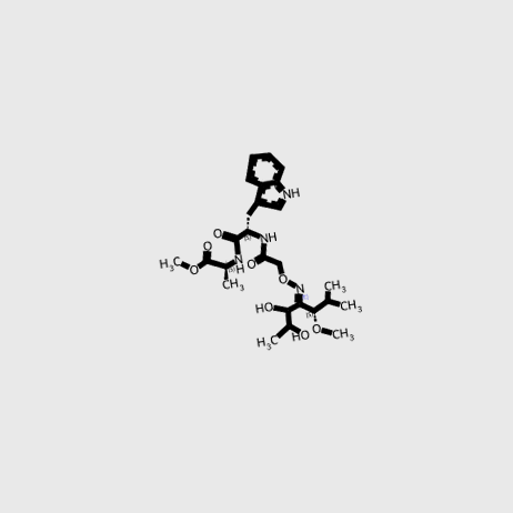 COC(=O)[C@H](C)NC(=O)[C@H](Cc1c[nH]c2ccccc12)NC(=O)CO/N=C(\C(O)C(C)O)[C@@H](OC)C(C)C